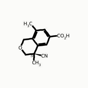 Cc1cc(C(=O)O)cc2c1COC[C@]2(C)C#N